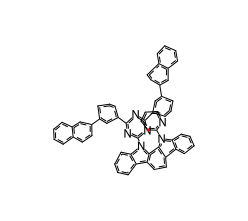 c1ccc(-n2c3ccccc3c3ccc4c5ccccc5n(-c5nc(-c6cccc(-c7ccc8ccccc8c7)c6)nc(-c6cccc(-c7ccc8ccccc8c7)c6)n5)c4c32)nc1